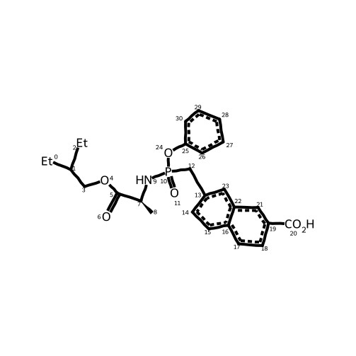 CCC(CC)COC(=O)[C@H](C)NP(=O)(Cc1ccc2ccc(C(=O)O)cc2c1)Oc1ccccc1